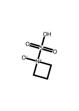 O=S(=O)(O)[N+]1([O-])CCC1